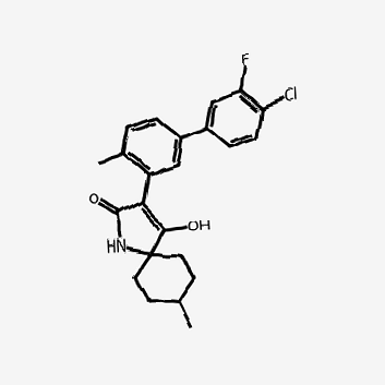 Cc1ccc(-c2ccc(Cl)c(F)c2)cc1C1=C(O)C2(CCC(C)CC2)NC1=O